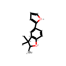 CC(C)(C)C1Oc2ccc(-c3ccco3)cc2C1(C)C